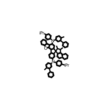 Cc1ccc(N(c2ccc(C(C)C)cc2)c2ccc3c(c2)C2(c4ccc5ccccc5c4C(C)C2C)c2cc(N(c4ccc(C(C)C)cc4)c4ccc(C)c(-c5ccccc5)c4)c4c(oc5ccccc54)c2-3)cc1-c1ccccc1